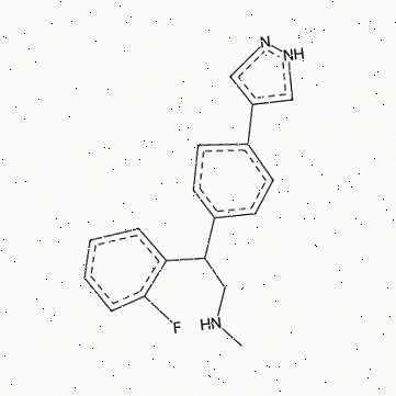 CNCC(c1ccc(-c2cn[nH]c2)cc1)c1ccccc1F